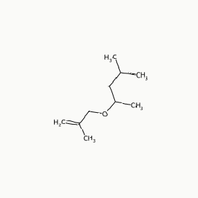 C=C(C)COC(C)CC(C)C